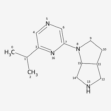 CC(C)c1cncc(N2CCC3CNCC32)n1